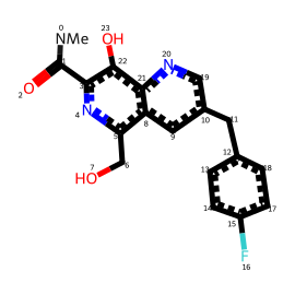 CNC(=O)c1nc(CO)c2cc(Cc3ccc(F)cc3)cnc2c1O